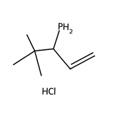 C=CC(P)C(C)(C)C.Cl